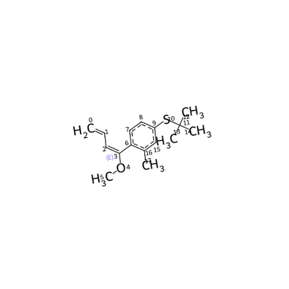 C=C/C=C(/OC)c1ccc(SC(C)(C)C)cc1C